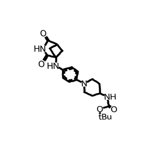 CC(C)(C)OC(=O)NC1CCN(c2ccc(NC34CC(C3)C(=O)NC4=O)cc2)CC1